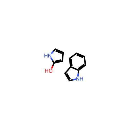 Oc1ccc[nH]1.c1ccc2[nH]ccc2c1